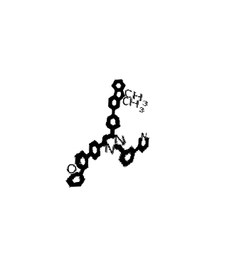 CC1(C)c2ccccc2-c2ccc(-c3ccc(-c4cc(-c5ccc(-c6ccc7oc8ccccc8c7c6)cc5)nc(-c5cccc(-c6cccnc6)c5)n4)cc3)cc21